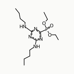 CCCCNc1nc(NCCCC)nc(P(=O)(OCC)OCC)n1